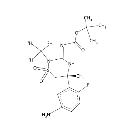 [2H]C([2H])([2H])N1/C(=N/C(=O)OC(C)(C)C)N[C@](C)(c2cc(N)ccc2F)CS1(=O)=O